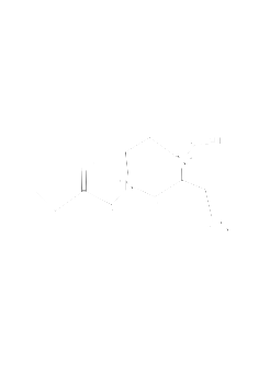 C=CC(=O)CN1CCN(C(C)(C)C)C(CC#N)C1